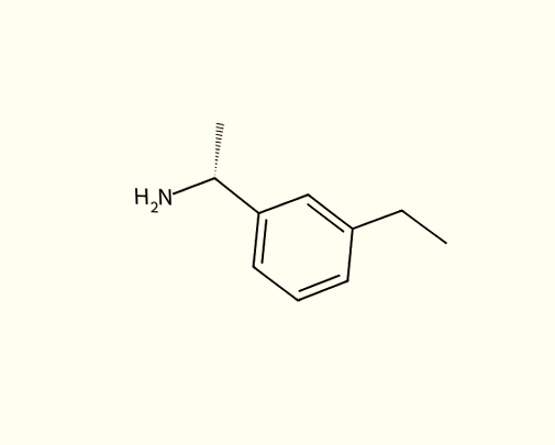 CCc1cccc([C@@H](C)N)c1